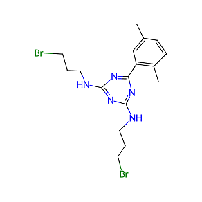 Cc1ccc(C)c(-c2nc(NCCCBr)nc(NCCCBr)n2)c1